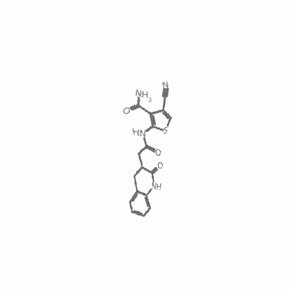 N#Cc1csc(NC(=O)CC2Cc3ccccc3NC2=O)c1C(N)=O